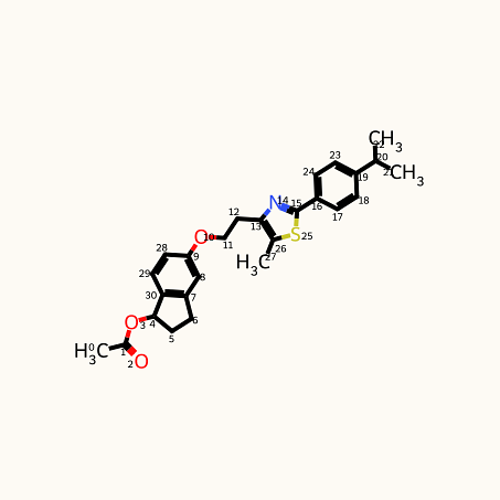 CC(=O)OC1CCc2cc(OCCc3nc(-c4ccc(C(C)C)cc4)sc3C)ccc21